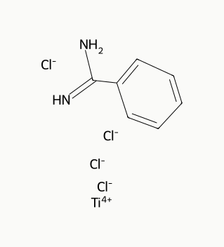 N=C(N)c1ccccc1.[Cl-].[Cl-].[Cl-].[Cl-].[Ti+4]